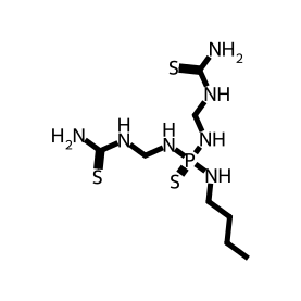 CCCCNP(=S)(NCNC(N)=S)NCNC(N)=S